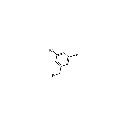 Oc1cc(Br)cc(CF)c1